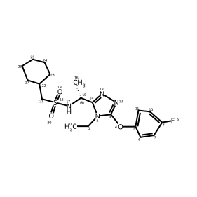 CCn1c(Oc2ccc(F)cc2)nnc1[C@@H](C)NS(=O)(=O)CC1CCCCC1